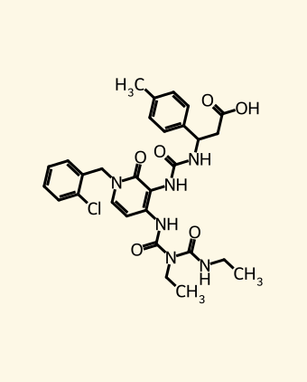 CCNC(=O)N(CC)C(=O)Nc1ccn(Cc2ccccc2Cl)c(=O)c1NC(=O)NC(CC(=O)O)c1ccc(C)cc1